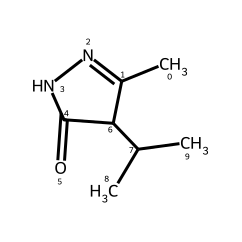 CC1=NNC(=O)C1C(C)C